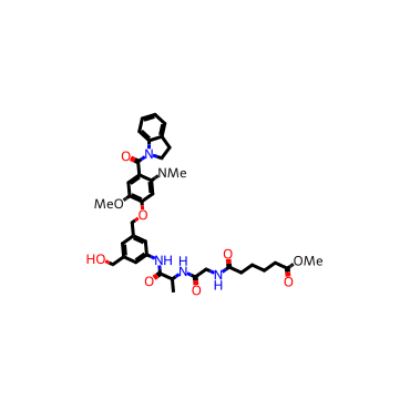 CNc1cc(OCc2cc(CO)cc(NC(=O)C(C)NC(=O)CNC(=O)CCCCC(=O)OC)c2)c(OC)cc1C(=O)N1CCc2ccccc21